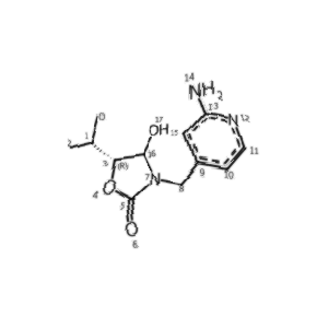 CC(C)[C@H]1OC(=O)N(Cc2ccnc(N)c2)C1O